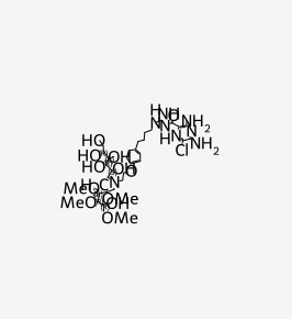 COC[C@@H](O)[C@@H](OC)[C@H](OC)C(C)(CN(CCOc1ccc(CCCCNC(=N)NC(=O)c2nc(Cl)c(N)nc2N)cc1)C[C@H](O)[C@@H](O)[C@H](O)[C@H](O)CO)OC